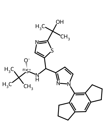 CC(C)(O)c1ncc(C(N[S@@+]([O-])C(C)(C)C)c2ccn(-c3c4c(cc5c3CCC5)CCC4)n2)s1